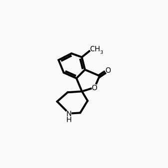 Cc1cccc2c1C(=O)OC21CCNCC1